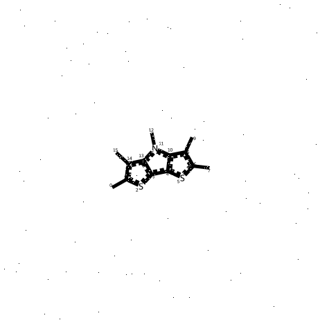 Cc1sc2c3sc(C)c(C)c3n(C)c2c1C